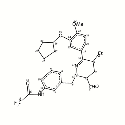 CCC1CC(C=O)N(Cc2cccc(NC(=O)C(F)(F)F)c2)N=C1c1ccc(OC)c(OC2CCCC2)c1